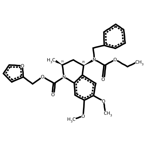 CCOC(=O)N(Cc1ccccc1)[C@@H]1C[C@H](C)N(C(=O)OCc2ccco2)c2cc(OC)c(OC)cc21